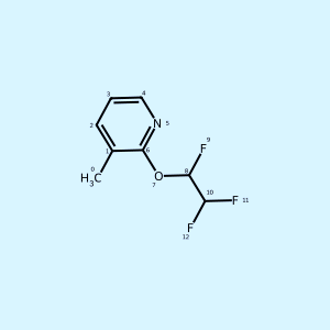 Cc1cccnc1OC(F)C(F)F